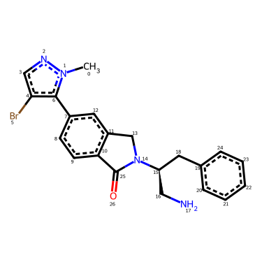 Cn1ncc(Br)c1-c1ccc2c(c1)CN([C@H](CN)Cc1ccccc1)C2=O